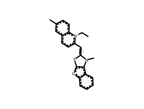 CC[n+]1c(/C=C2\Sc3oc4ccccc4c3N2C)ccc2cc(C)ccc21